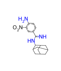 N=C(NC1C2CC3CC(C2)CC1C3)c1ccc(N)c([N+](=O)[O-])c1